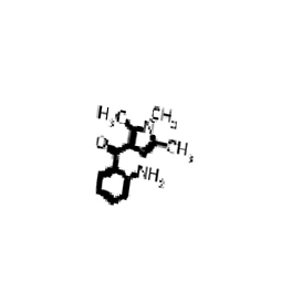 Cc1cc(C(=O)c2ccccc2N)c(C)n1C